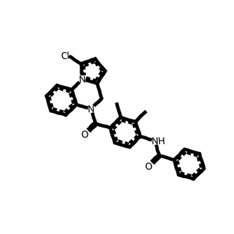 Cc1c(NC(=O)c2ccccc2)ccc(C(=O)N2Cc3ccc(Cl)n3-c3ccccc32)c1C